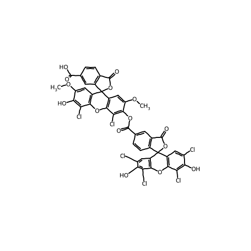 COc1cc2c(c(Cl)c1O)Oc1c(cc(OC)c(OC(=O)c3ccc4c(c3)C(=O)OC43c4cc(Cl)c(O)c(Cl)c4Oc4c3cc(Cl)c(O)c4Cl)c1Cl)C21OC(=O)c2ccc(C(=O)O)cc21